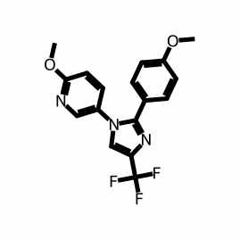 COc1ccc(-c2nc(C(F)(F)F)cn2-c2ccc(OC)nc2)cc1